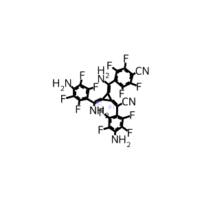 N#C/C(=C1\C(=C(N)c2c(F)c(F)c(C#N)c(F)c2F)\C1=C(\N)c1c(F)c(F)c(N)c(F)c1F)c1c(F)c(F)c(N)c(F)c1F